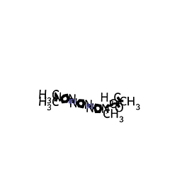 C=C(C)C(=O)OCCN(C)c1ccc(/N=N/c2ccc(/N=N/c3ccc(N(C)C)cc3)cc2)cc1